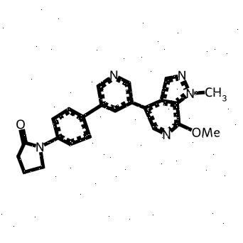 COc1ncc(-c2cncc(-c3ccc(N4CCCC4=O)cc3)c2)c2cnn(C)c12